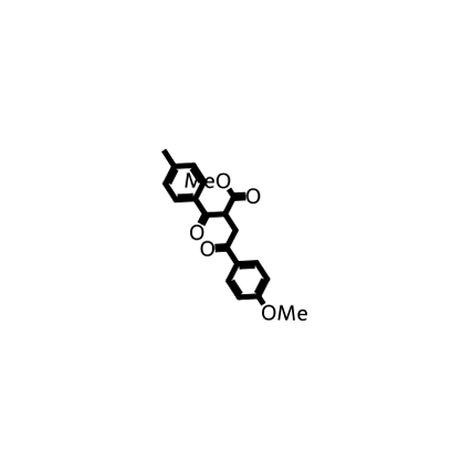 COC(=O)C(CC(=O)c1ccc(OC)cc1)C(=O)c1ccc(C)cc1